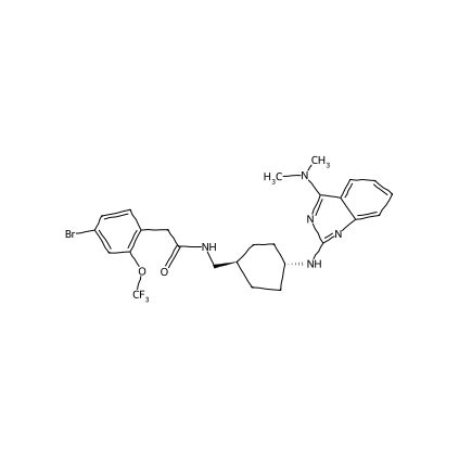 CN(C)c1nc(N[C@H]2CC[C@H](CNC(=O)Cc3ccc(Br)cc3OC(F)(F)F)CC2)nc2ccccc12